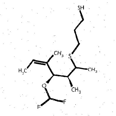 C/C=C(/C)[C@H](OC(F)F)[C@H](C)C(C)SCCCS